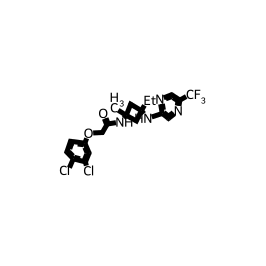 CCC1(Nc2cnc(C(F)(F)F)cn2)CC(C)(NC(=O)COc2ccc(Cl)c(Cl)c2)C1